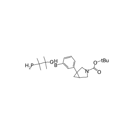 CC(C)(C)OC(=O)N1CC2CC2(c2cccc(BOC(C)(C)C(C)(C)P)c2)C1